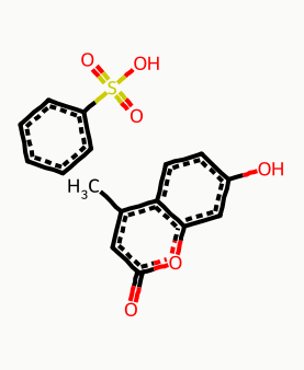 Cc1cc(=O)oc2cc(O)ccc12.O=S(=O)(O)c1ccccc1